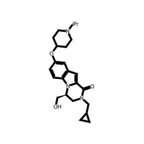 CC(C)N1CCC(Oc2ccc3c(c2)cc2n3[C@H](CO)CN(CC3CC3)C2=O)CC1